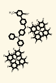 Cc1ccc([IH+])c(-c2ccc(Cc3ccc([S+](c4ccccc4)c4ccccc4)cc3)cc2)c1.Fc1c(F)c(F)c([B-](c2c(F)c(F)c(F)c(F)c2F)(c2c(F)c(F)c(F)c(F)c2F)c2c(F)c(F)c(F)c(F)c2F)c(F)c1F.Fc1c(F)c(F)c([B-](c2c(F)c(F)c(F)c(F)c2F)(c2c(F)c(F)c(F)c(F)c2F)c2c(F)c(F)c(F)c(F)c2F)c(F)c1F